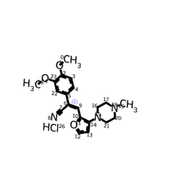 COc1ccc(/C(C#N)=C/c2occc2N2CCN(C)CC2)cc1OC.Cl